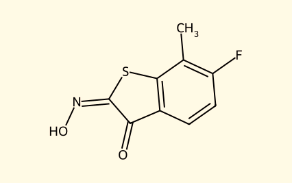 Cc1c(F)ccc2c1S/C(=N/O)C2=O